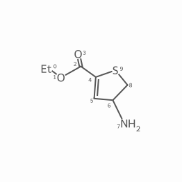 CCOC(=O)C1=CC(N)CS1